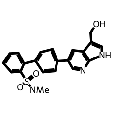 CNS(=O)(=O)c1ccccc1-c1ccc(-c2cnc3[nH]cc(CO)c3c2)cc1